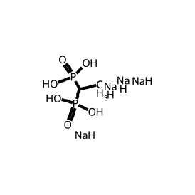 CC(P(=O)(O)O)P(=O)(O)O.[NaH].[NaH].[NaH].[NaH]